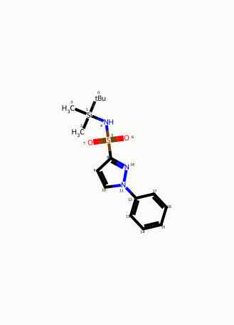 CC(C)(C)[Si](C)(C)NS(=O)(=O)c1ccn(-c2ccccc2)n1